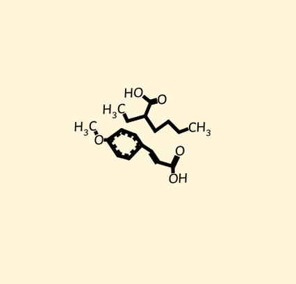 CCCCC(CC)C(=O)O.COc1ccc(C=CC(=O)O)cc1